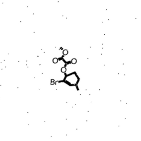 COC(=O)C(=O)OC1CCC(C)C=C1Br